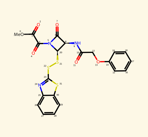 COC(=O)C(=O)N1C(=O)[C@@H](NC(=O)COc2ccccc2)[C@H]1SSc1nc2ccccc2s1